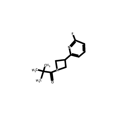 CC(C)(C)C(=O)N1CC(c2cccc(F)n2)C1